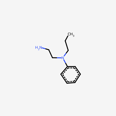 CCCN(CCN)c1ccccc1